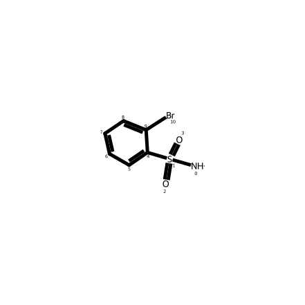 [NH]S(=O)(=O)c1ccccc1Br